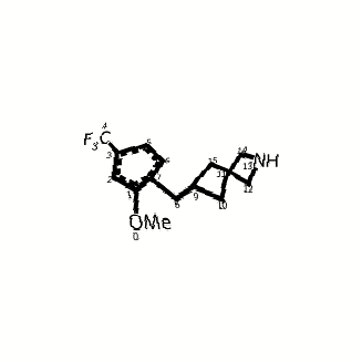 COc1cc(C(F)(F)F)ccc1CC1CC2(CNC2)C1